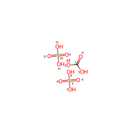 O=C(O)O.O=S(=O)(O)O.O=S(=O)(O)O